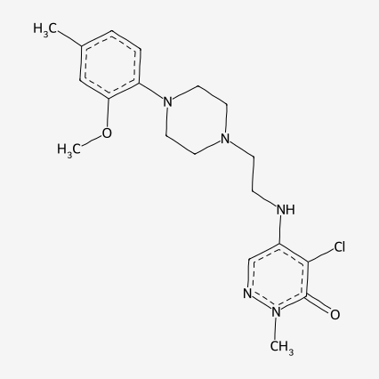 COc1cc(C)ccc1N1CCN(CCNc2cnn(C)c(=O)c2Cl)CC1